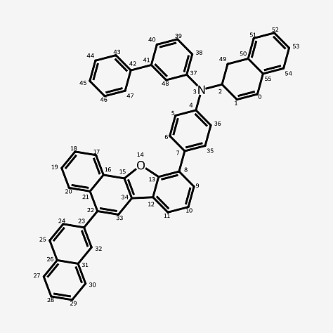 C1=CC(N(c2ccc(-c3cccc4c3oc3c5ccccc5c(-c5ccc6ccccc6c5)cc43)cc2)c2cccc(-c3ccccc3)c2)Cc2ccccc21